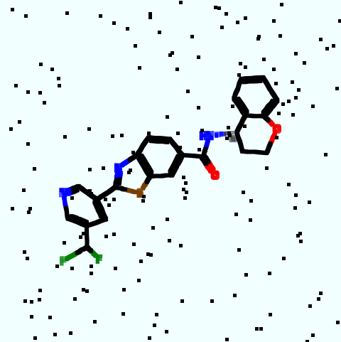 O=C(N[C@H]1CCOc2ccccc21)c1ccc2nc(-c3cncc(C(F)F)c3)sc2c1